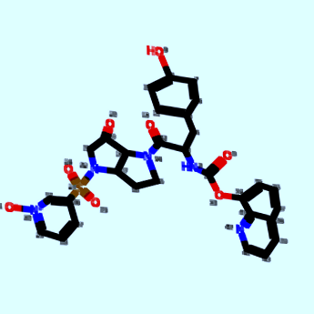 O=C(NC(Cc1ccc(O)cc1)C(=O)N1CCC2C1C(=O)CN2S(=O)(=O)c1ccc[n+]([O-])c1)Oc1cccc2cccnc12